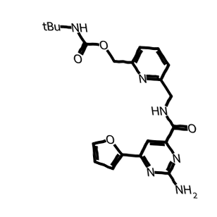 CC(C)(C)NC(=O)OCc1cccc(CNC(=O)c2cc(-c3ccco3)nc(N)n2)n1